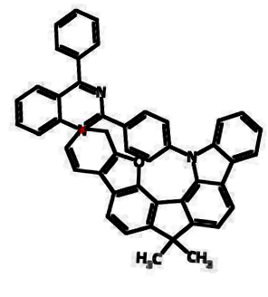 CC1(C)c2ccc3c4c(oc3c2-c2c1ccc1c3ccccc3n(-c3ccc(-c5nc(-c6ccccc6)c6ccccc6n5)cc3)c21)CCC=C4